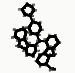 CC(C)(C)c1cccc2c1oc1cccc(N(c3ccc(-c4ccccc4)cc3)c3cccc4sc5ccccc5c34)c12